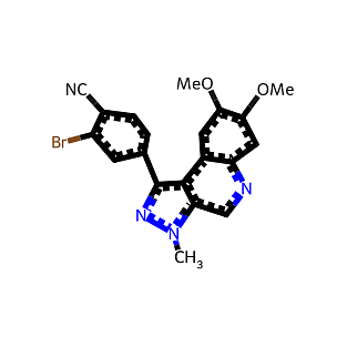 COc1cc2ncc3c(c(-c4ccc(C#N)c(Br)c4)nn3C)c2cc1OC